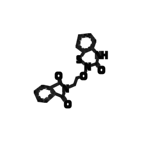 O=C1Nc2ccccc2SN1OCCN1C(=O)c2ccccc2C1=O